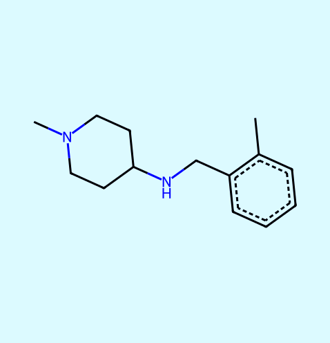 Cc1ccccc1CNC1CCN(C)CC1